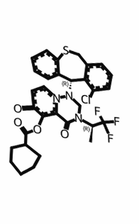 C[C@@H](N1CN([C@@H]2c3ccccc3SCc3cccc(Cl)c32)n2ccc(=O)c(OC(=O)C3CCCCC3)c2C1=O)C(F)(F)F